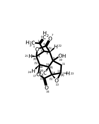 C=C(C)C1[C@H]2OC(=O)[C@@H]1C1(O)C[C@H]3O[C@]34C(=O)O[C@H]2[C@]14C